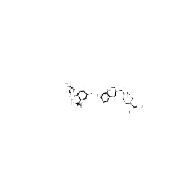 C[C@H](Oc1ccc(COc2ccc3c(c2)OCC(CN2CCC(C(=O)O)CC2)=C3)cc1C(F)(F)F)C(F)(F)F